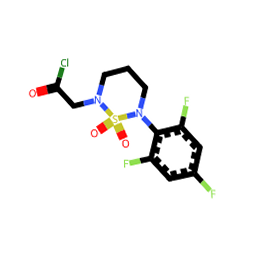 O=C(Cl)CN1CCCN(c2c(F)cc(F)cc2F)S1(=O)=O